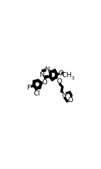 COc1cc2ncnc(Oc3ccc(F)c(Cl)c3)c2cc1OCCCN1CCOCC1